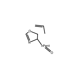 C=CC.C=O.CCCCCC1COC=N1